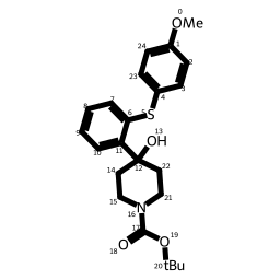 COc1ccc(Sc2ccccc2C2(O)CCN(C(=O)OC(C)(C)C)CC2)cc1